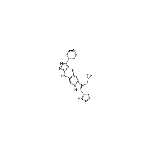 Fc1cc2c(cc1Nc1nnc(-c3ccncc3)s1)nc(-c1ccc[nH]1)n2CC1CC1